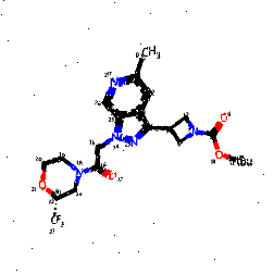 Cc1cc2c(C3CN(C(=O)OC(C)(C)C)C3)nn(CC(=O)N3CCO[C@@H](C(F)(F)F)C3)c2cn1